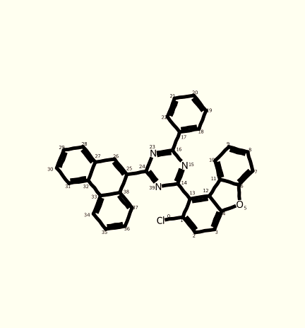 Clc1ccc2oc3ccccc3c2c1-c1nc(-c2ccccc2)nc(-c2cc3ccccc3c3ccccc23)n1